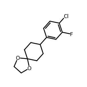 Fc1cc(C2CCC3(CC2)OCCO3)ccc1Cl